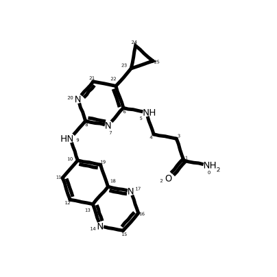 NC(=O)CCNc1nc(Nc2ccc3nccnc3c2)ncc1C1CC1